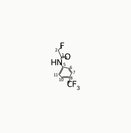 O=C(CF)Nc1ccc(C(F)(F)F)cc1